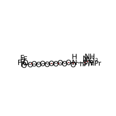 CCCN(CCC)C(=O)C1=Cc2sc(CCCCCNC(=O)CCOCCOCCOCCOCCOCCOCCOCCOCCOCCOCCC(=O)Oc3c(F)c(F)cc(F)c3F)cc2N=C(N)C1